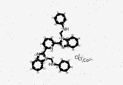 [Cl-].[Cl-].[Co+2].c1ccc(NCn2c(-c3cccc(-c4nc5ccccc5n4CNc4ccccc4)n3)nc3ccccc32)cc1